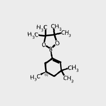 C[C@H]1CC(B2OC(C)(C)C(C)(C)O2)=CC(C)(C)C1